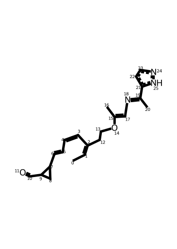 C\C=C(/C=C\C=C\C1CC1C=O)CCO/C(C)=C/N=C(\C)c1ccn[nH]1